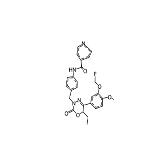 CCC1OC(=O)N(Cc2ccc(NC(=O)c3ccncc3)cc2)N=C1c1ccc(OC)c(OCF)c1